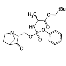 C[C@H](NP(=O)(OC[C@@H]1C(=O)C2CCN1C2)Oc1ccccc1)C(=O)OCC(C)(C)C